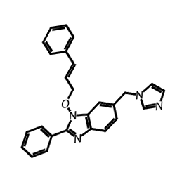 C(=C\c1ccccc1)/COn1c(-c2ccccc2)nc2ccc(Cn3ccnc3)cc21